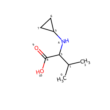 CC(C)C(NC1CC1)C(=O)O